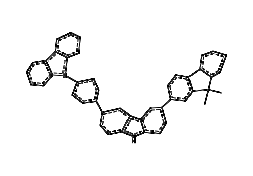 CC1(C)c2ccccc2-c2ccc(-c3ccc4[nH]c5ccc(-c6ccc(-n7c8ccccc8c8ccccc87)cc6)cc5c4c3)cc21